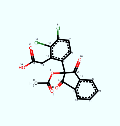 CC(=O)OC1(c2ccc(Cl)c(Cl)c2CC(=O)O)C(=O)c2ccccc2C1=O